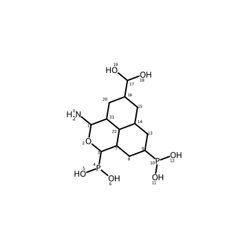 NC1OC(P(O)O)C2CC(P(O)O)CC3CC(C(O)O)CC1C32